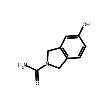 NC(=O)N1Cc2ccc(O)cc2C1